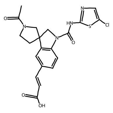 CC(=O)N1CCC2(C1)CN(C(=O)Nc1ncc(Cl)s1)c1ccc(/C=C/C(=O)O)cc12